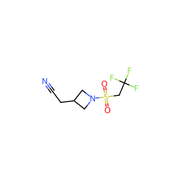 N#CCC1CN(S(=O)(=O)CC(F)(F)F)C1